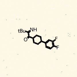 CC(C)(C)C(=N)C(=O)C1CCC(c2ccc(F)c(F)c2)CC1